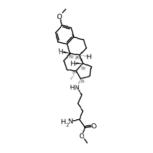 COC(=O)C(N)CCCN[C@H]1CC[C@H]2[C@@H]3CCc4cc(OC)ccc4[C@H]3CC[C@]12C